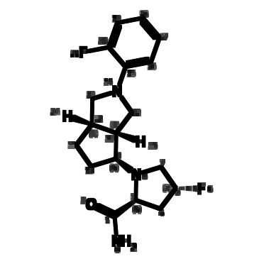 NC(=O)[C@@H]1C[C@@H](F)CN1[C@H]1CC[C@@H]2CN(c3ccccc3F)C[C@@H]21